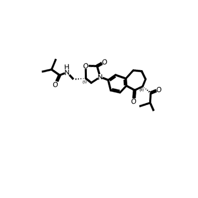 CC(C)C(=O)NC[C@H]1CN(c2ccc3c(c2)CCC[C@H](C(=O)C(C)C)C3=O)C(=O)O1